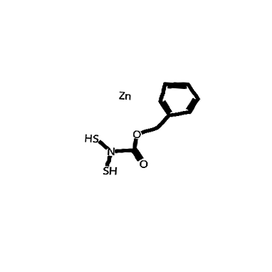 O=C(OCc1ccccc1)N(S)S.[Zn]